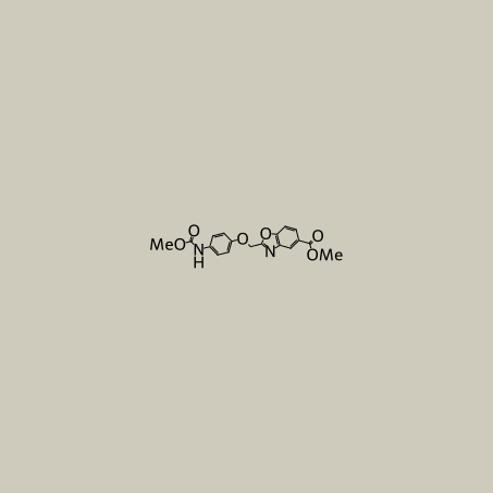 COC(=O)Nc1ccc(OCc2nc3cc(C(=O)OC)ccc3o2)cc1